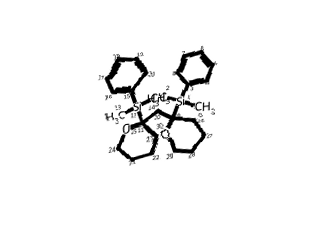 C[Si](C)(c1ccccc1)C1([CH]C2([Si](C)(C)c3ccccc3)CCCCO2)CCCCO1